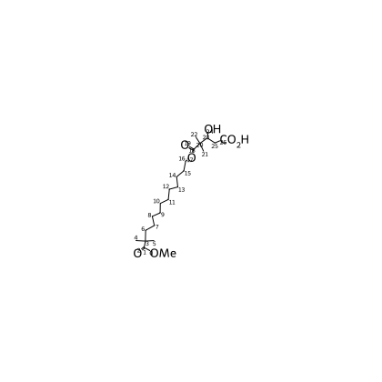 COC(=O)C(C)(C)CCCCCCCCCCCOC(=O)C(C)(C)C(O)CC(=O)O